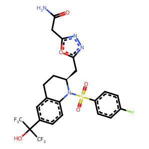 NC(=O)Cc1nnc(C[C@@H]2CCc3cc(C(O)(C(F)(F)F)C(F)(F)F)ccc3N2S(=O)(=O)c2ccc(F)cc2)o1